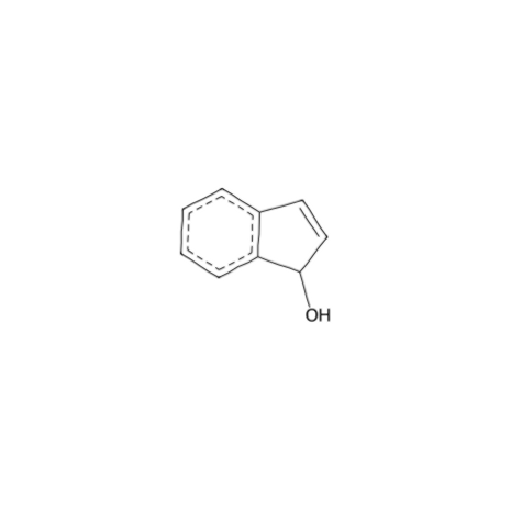 OC1C=Cc2ccccc21